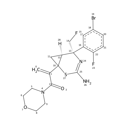 C=C(C(=O)N1CCOCC1)C12C[C@H]1[C@@](CF)(c1cc(Br)ccc1F)N=C(N)S2